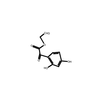 O=CCOC(=O)C(=O)c1ccc(O)cc1O